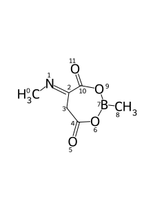 C/N=C1\CC(=O)OB(C)OC1=O